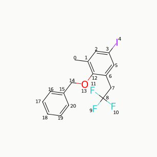 Cc1cc(I)cc(CC(F)(F)F)c1OCc1ccccc1